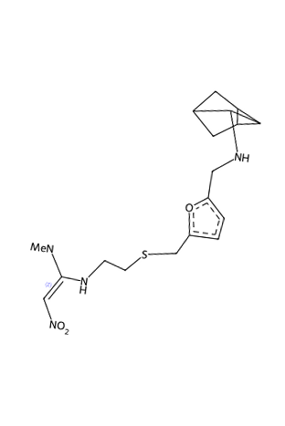 CN/C(=C/[N+](=O)[O-])NCCSCc1ccc(CNC2C3CC4C(C3)C42)o1